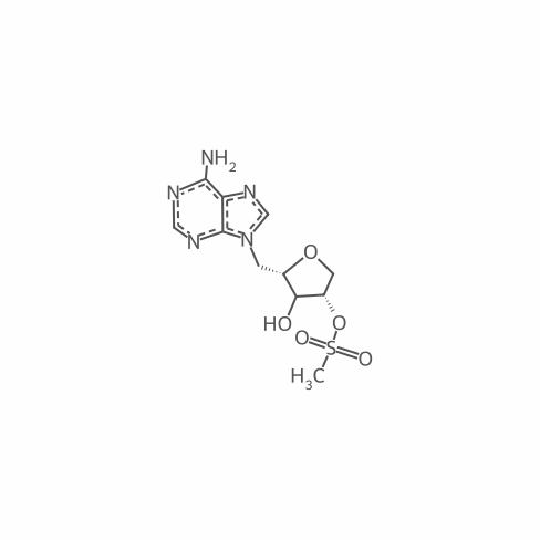 CS(=O)(=O)O[C@H]1CO[C@@H](Cn2cnc3c(N)ncnc32)C1O